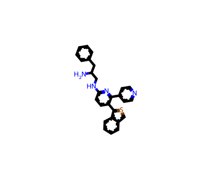 NC(CNc1ccc(-c2scc3ccccc23)c(-c2ccncc2)n1)Cc1ccccc1